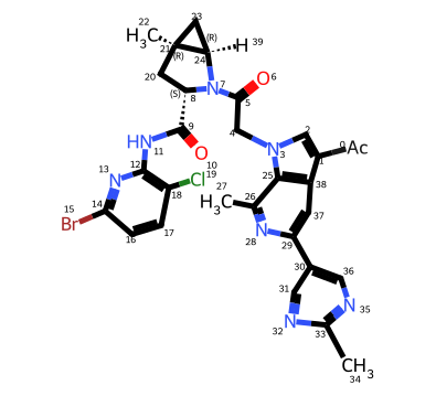 CC(=O)c1cn(CC(=O)N2[C@H](C(=O)Nc3nc(Br)ccc3Cl)C[C@@]3(C)C[C@@H]23)c2c(C)nc(-c3cnc(C)nc3)cc12